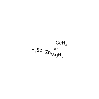 [GeH4].[MgH2].[SeH2].[V].[Zn]